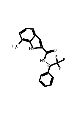 Cc1cccc2cc(C(=O)N[C@@H](c3ccccc3)C(F)(F)F)[nH]c12